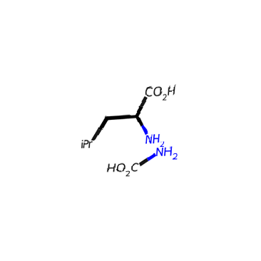 CC(C)CC(N)C(=O)O.NC(=O)O